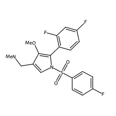 CNCc1cn(S(=O)(=O)c2ccc(F)cc2)c(-c2ccc(F)cc2F)c1OC